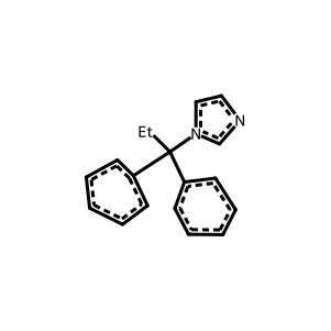 CCC(c1ccccc1)(c1ccccc1)n1ccnc1